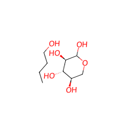 CCCCO.OC1OC[C@@H](O)[C@H](O)[C@H]1O